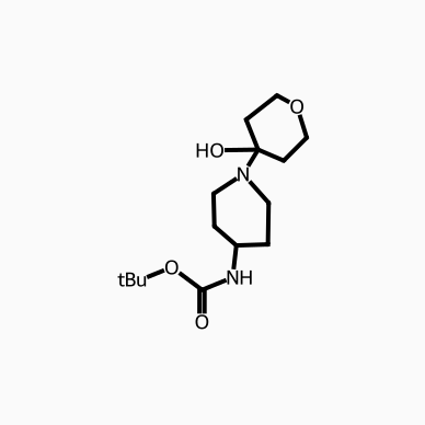 CC(C)(C)OC(=O)NC1CCN(C2(O)CCOCC2)CC1